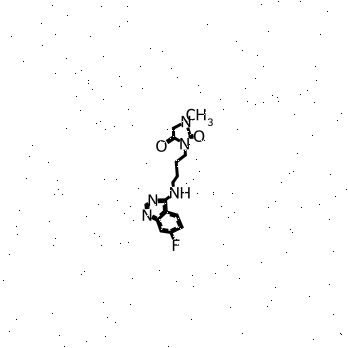 CN1CC(=O)N(CCCCNc2ncnc3cc(F)ccc23)C1=O